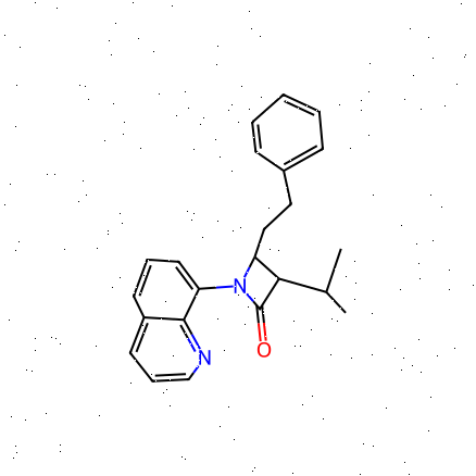 CC(C)C1C(=O)N(c2cccc3cccnc23)C1CCc1ccccc1